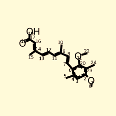 COc1cc(C)c(C=CC(C)=CC=CC(C)=CC(=O)O)c(OC)c1C